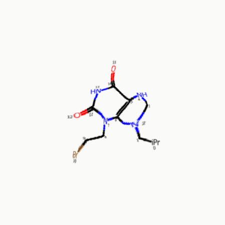 CC(C)CN1CNc2c1n(CCBr)c(=O)[nH]c2=O